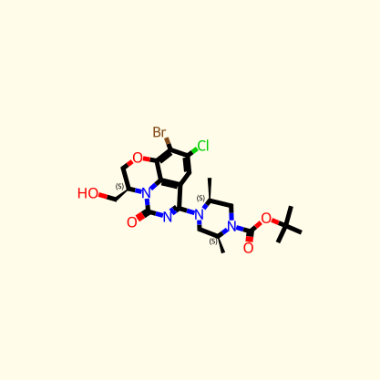 C[C@H]1CN(c2nc(=O)n3c4c(c(Br)c(Cl)cc24)OC[C@@H]3CO)[C@@H](C)CN1C(=O)OC(C)(C)C